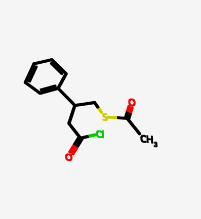 CC(=O)SCC(CC(=O)Cl)c1ccccc1